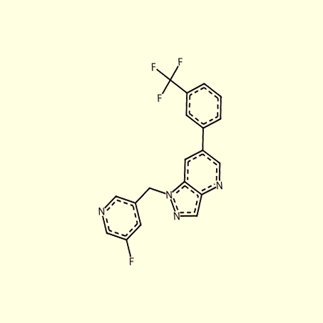 Fc1cncc(Cn2ncc3ncc(-c4cccc(C(F)(F)F)c4)cc32)c1